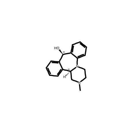 CN1CCN2c3ccccc3[C@H](O)c3ccccc3[C@@H]2C1